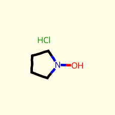 Cl.ON1CCCC1